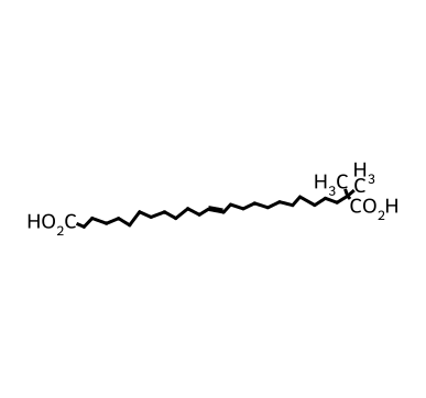 CC(C)(CCCCCCCCCC/C=C/CCCCCCCCCCCC(=O)O)C(=O)O